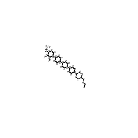 C=CCCC1CCC(c2ccc(-c3ccc(-c4ccc(-c5ccc(OCCC)c(F)c5F)cc4)cc3)cc2)CO1